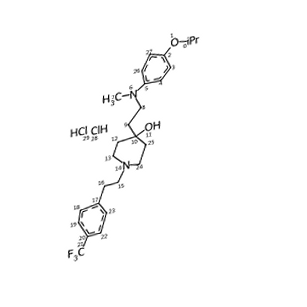 CC(C)Oc1ccc(N(C)CCC2(O)CCN(CCc3ccc(C(F)(F)F)cc3)CC2)cc1.Cl.Cl